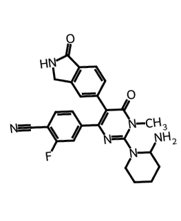 Cn1c(N2CCCCC2N)nc(-c2ccc(C#N)c(F)c2)c(-c2ccc3c(c2)CNC3=O)c1=O